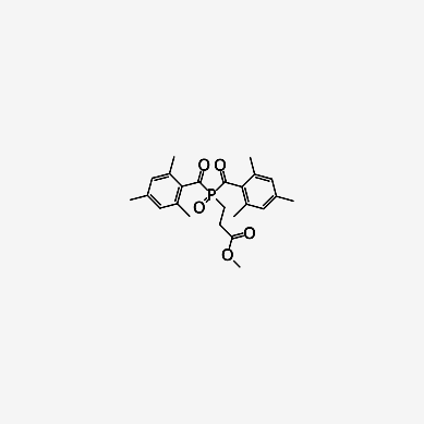 COC(=O)CCP(=O)(C(=O)c1c(C)cc(C)cc1C)C(=O)c1c(C)cc(C)cc1C